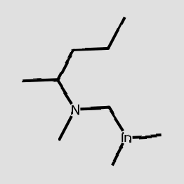 CCCC(C)N(C)[CH2][In]([CH3])[CH3]